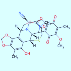 COC1=C(C)C(=O)C2=C(C1=O)C1[C@@H]3[C@@H]4SCC(=O)C(=O)OC[C@@H](c5c6c(c(C)c(O)c54)OCO6)N3[C@@H](C#N)C(C2)N1C